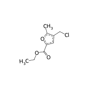 CCOC(=O)c1cc(CCl)c(C)o1